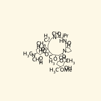 CO[C@]1(C)C[C@H](O[C@H]2[C@H](C)[C@@H](O[C@@H]3O[C@H](C)C[C@H](N(C)C)[C@H]3O)[C@](C)(O)C[C@@H](C)CN(C)C(=O)C(C(C)C)NC(=O)[C@H]3CCCN3C(=O)[C@@H]2C)O[C@@H](C)[C@@H]1O